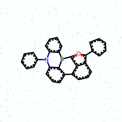 c1ccc(-c2oc3c4c(cccc24)-c2cccc4c2B3c2ccccc2N4c2ccccc2)cc1